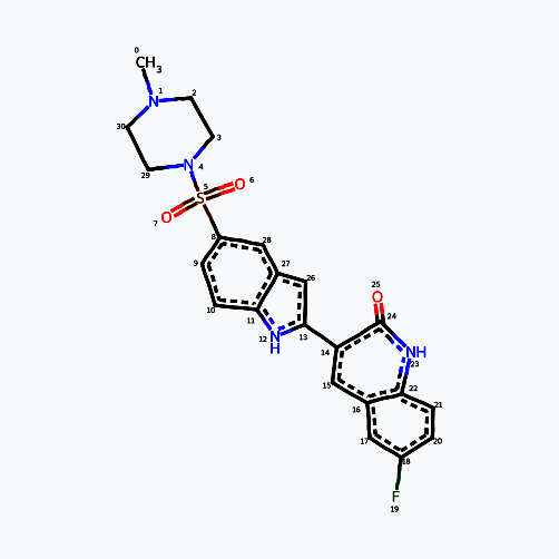 CN1CCN(S(=O)(=O)c2ccc3[nH]c(-c4cc5cc(F)ccc5[nH]c4=O)cc3c2)CC1